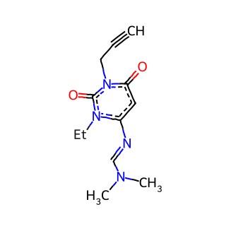 C#CCn1c(=O)cc(N=CN(C)C)n(CC)c1=O